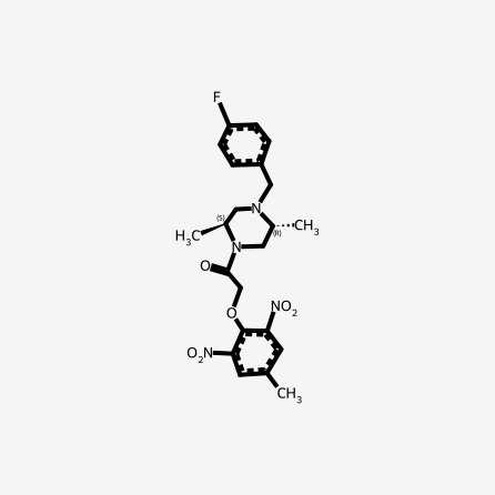 Cc1cc([N+](=O)[O-])c(OCC(=O)N2C[C@@H](C)N(Cc3ccc(F)cc3)C[C@@H]2C)c([N+](=O)[O-])c1